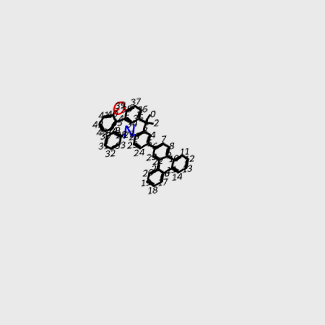 CC1(C)c2cc(-c3ccc4c5ccccc5c5ccccc5c4c3)ccc2N(c2ccccc2)c2c1ccc1oc3ccccc3c21